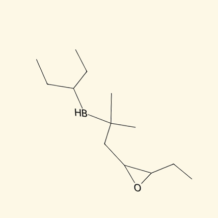 CCC(BC(C)(C)CC1OC1CC)CC